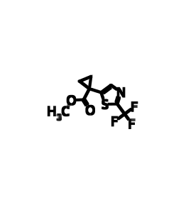 COC(=O)C1(c2cnc(C(F)(F)F)s2)CC1